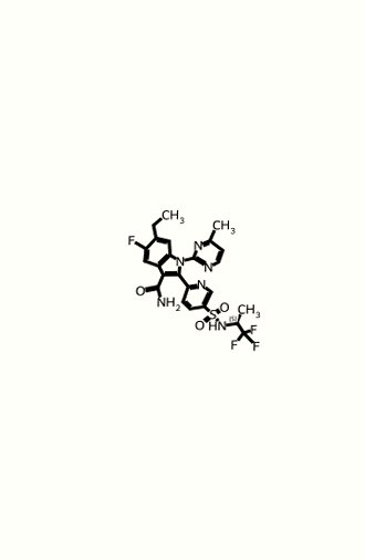 CCc1cc2c(cc1F)c(C(N)=O)c(-c1ccc(S(=O)(=O)N[C@@H](C)C(F)(F)F)cn1)n2-c1nccc(C)n1